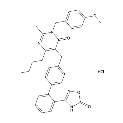 CCCCc1nc(C)n(Cc2ccc(OC)cc2)c(=O)c1Cc1ccc(-c2ccccc2-c2noc(=O)[nH]2)cc1.Cl